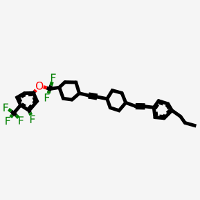 CCCc1ccc(C#CC2CCC(C#CC3CCC(C(F)(F)Oc4ccc(C(F)(F)F)c(F)c4)CC3)CC2)cc1